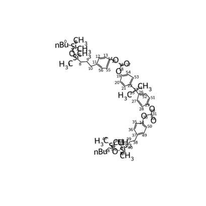 CCCC[Si](C)(C)O[Si](C)(C)CCCc1ccc(OC(=O)Oc2ccc(C(C)(C)c3ccc(OC(=O)Oc4ccc(CCC[Si](C)(C)O[Si](C)(C)CCCC)cc4)cc3)cc2)cc1